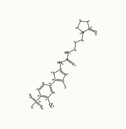 Cc1nc(NC(=O)NCCCN2CCCC2=O)sc1-c1ccc(S(C)(=O)=O)c(C(F)(F)F)c1